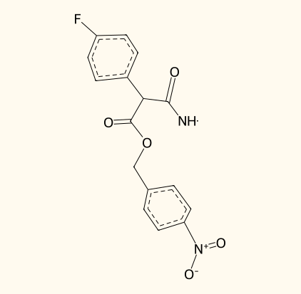 [NH]C(=O)C(C(=O)OCc1ccc([N+](=O)[O-])cc1)c1ccc(F)cc1